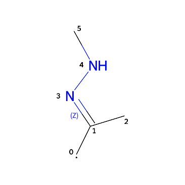 [CH2]/C(C)=N/NC